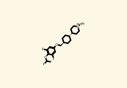 CCC[SiH]1CCC([C@H]2CC[C@H](COc3cc(F)c(OC(F)F)c(F)c3)CC2)CC1